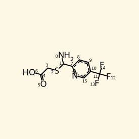 NC(SCC(=O)O)c1ccc(C(F)(F)F)cn1